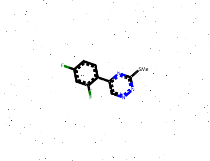 CSc1nncc(-c2ccc(F)cc2F)n1